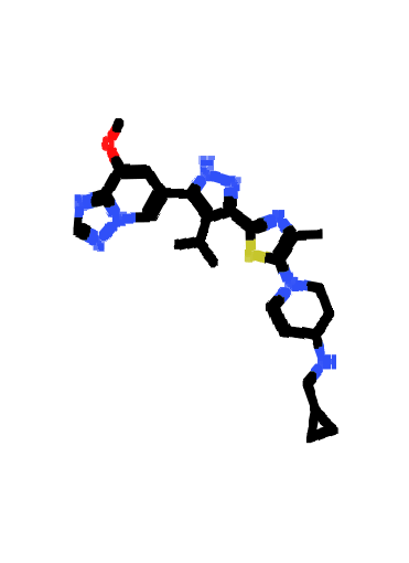 COc1cc(-c2[nH]nc(-c3nc(C)c(N4CCC(NCC5CC5)CC4)s3)c2C(C)C)cn2ncnc12